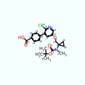 CN(C(=O)OC(C)(C)C)C1(COc2cnc(Cl)c(-c3ccc(C(=O)O)cc3)c2)CC1